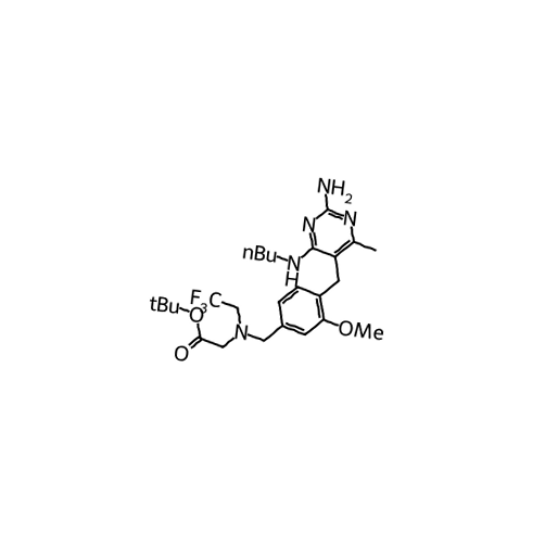 CCCCNc1nc(N)nc(C)c1Cc1ccc(CN(CC(=O)OC(C)(C)C)CC(F)(F)F)cc1OC